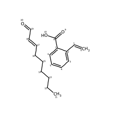 C=Cc1ccccc1C(=O)O.CCCCCCC=CC=O